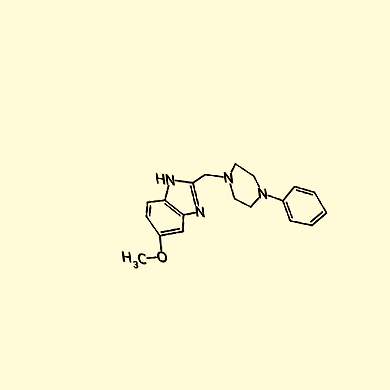 COc1ccc2[nH]c(CN3CCN(c4ccccc4)CC3)nc2c1